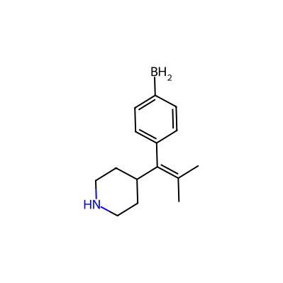 Bc1ccc(C(=C(C)C)C2CCNCC2)cc1